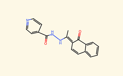 C/C(NNC(=O)c1ccncc1)=C1/C=Cc2ccccc2C1=O